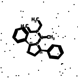 CCP(CC)N(C)P1[C@@H](c2ccccc2)CC[C@@H]1c1ccccc1